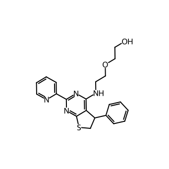 OCCOCCNc1nc(-c2ccccn2)nc2c1C(c1ccccc1)CS2